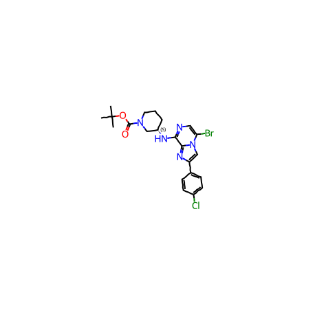 CC(C)(C)OC(=O)N1CCC[C@H](Nc2ncc(Br)n3cc(-c4ccc(Cl)cc4)nc23)C1